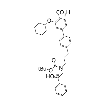 CC(C)(C)OC(=O)N(CCCc1ccc(-c2ccc(C(=O)O)c(OC3CCCCC3)c2)cc1)C[C@H](O)c1ccccc1